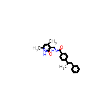 Cc1cc(C)c(CNC(=O)c2ccc(C(C)Cc3ccccc3)cc2)c(=O)[nH]1